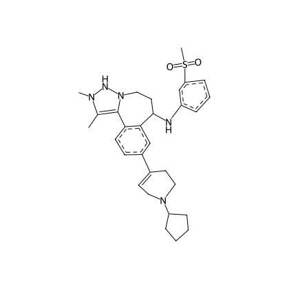 CC1=C2c3ccc(C4=CCN(C5CCCC5)CC4)cc3C(Nc3cccc(S(C)(=O)=O)c3)CCN2NN1C